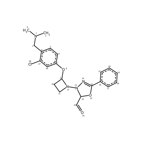 CN(C)Cc1ccc(OC2CCN2N2N=C(c3ccccc3)OC2C=O)cc1Cl